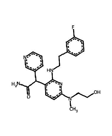 CN(CCO)c1ccc(C(C(N)=O)c2cccnc2)c(NCCc2cccc(F)c2)n1